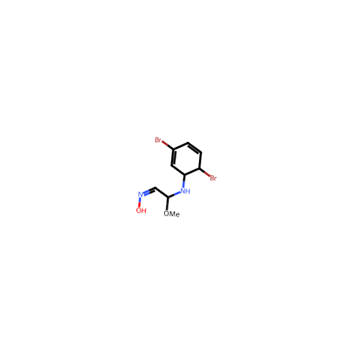 COC(/C=N\O)NC1C=C(Br)C=CC1Br